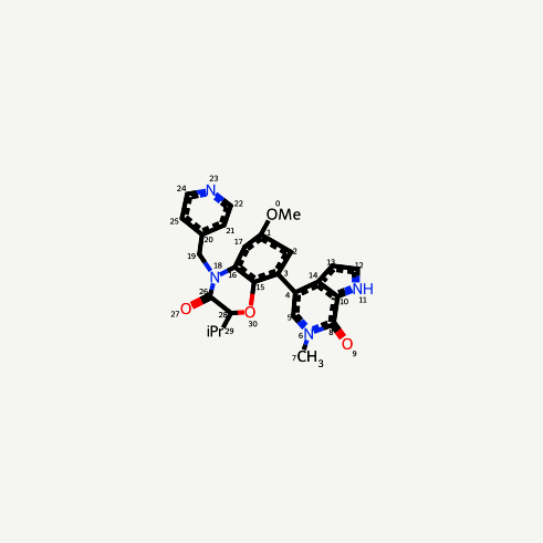 COc1cc(-c2cn(C)c(=O)c3[nH]ccc23)c2c(c1)N(Cc1ccncc1)C(=O)C(C(C)C)O2